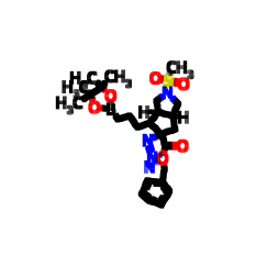 CC1(C)OB(CCCC2[C@@H]3CN(S(C)(=O)=O)C[C@@H]3CC2(N=[N+]=[N-])C(=O)OCc2ccccc2)OC1(C)C